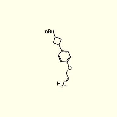 C=CCOc1ccc(C2CC(CCCC)C2)cc1